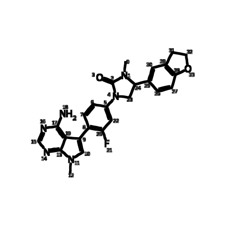 CN1C(=O)N(c2ccc(-c3cn(C)c4ncnc(N)c34)c(F)c2)CC1c1ccc2c(c1)CCO2